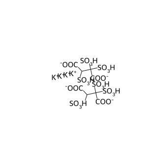 O=C([O-])C(C(C(=O)[O-])(S(=O)(=O)O)S(=O)(=O)O)S(=O)(=O)O.O=C([O-])C(C(C(=O)[O-])(S(=O)(=O)O)S(=O)(=O)O)S(=O)(=O)O.[K+].[K+].[K+].[K+]